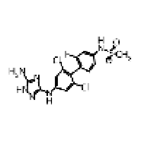 CS(=O)(=O)Nc1ccc(-c2c(Cl)cc(Nc3n[nH]c(N)n3)cc2Cl)c(F)c1